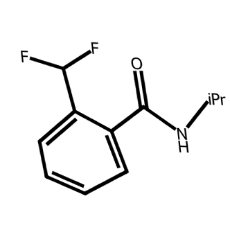 CC(C)NC(=O)c1ccccc1C(F)F